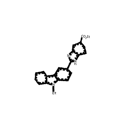 CCOC(=O)c1ccc2[nH]c(-c3ccc4c(c3)c3ccccc3n4CC)nc2c1